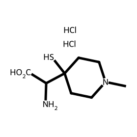 CN1CCC(S)(C(N)C(=O)O)CC1.Cl.Cl